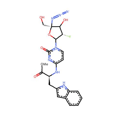 COC(=O)[C@H](Cc1cc2ccccc2[nH]1)Nc1ccn(C2O[C@@](CO)(N=[N+]=[N-])C(O)[C@@H]2F)c(=O)n1